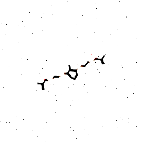 C=C(C)C(=O)SCCSc1cccc(SCCSC(=O)C(=C)C)c1C